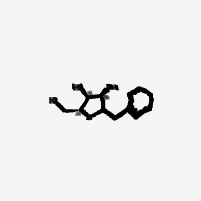 OC[C@H]1OC(Cc2ccccc2)[C@H](O)[C@@H]1O